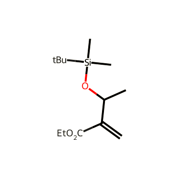 C=C(C(=O)OCC)C(C)O[Si](C)(C)C(C)(C)C